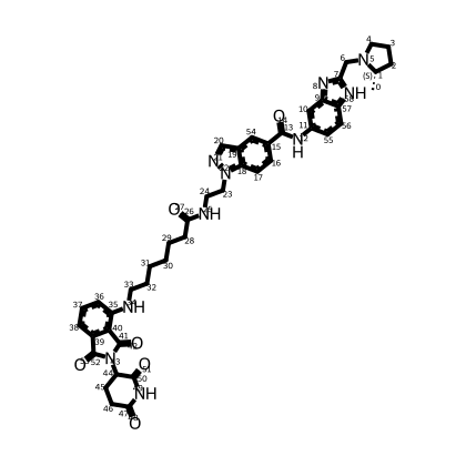 C[C@H]1CCCN1Cc1nc2cc(NC(=O)c3ccc4c(cnn4CCNC(=O)CCCCCCNc4cccc5c4C(=O)N(C4CCC(=O)NC4=O)C5=O)c3)ccc2[nH]1